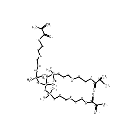 C=C(C)C(=O)OCCOCCC[Si](C)(C)O[Si](C)(O[Si](C)(C)CCCOCCOC(=O)C(=C)C)O[Si](C)(C)CCCOCCOC(=O)C(=C)C